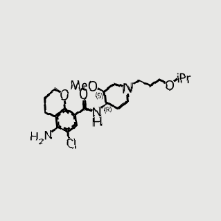 CO[C@H]1CN(CCCOC(C)C)CC[C@H]1NC(=O)c1cc(Cl)c(N)c2c1OCCC2